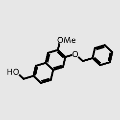 COc1cc2cc(CO)ccc2cc1OCc1ccccc1